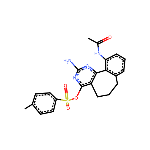 CC(=O)Nc1cccc2c1-c1nc(N)nc(OS(=O)(=O)c3ccc(C)cc3)c1CCC2